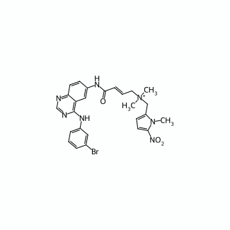 Cn1c(C[N+](C)(C)C/C=C/C(=O)Nc2ccc3ncnc(Nc4cccc(Br)c4)c3c2)ccc1[N+](=O)[O-]